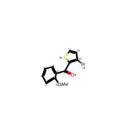 COc1ccccc1C(=O)c1sccc1Br